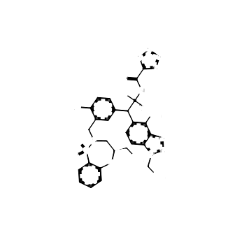 CC[C@@H]1CN(Cc2cc(C(c3ccc4c(nnn4CC)c3C)C(C)(C)NC(=O)c3nnn[nH]3)ccc2C)S(=O)(=O)c2ccccc2O1